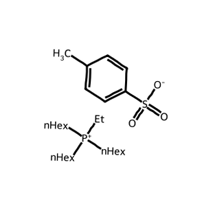 CCCCCC[P+](CC)(CCCCCC)CCCCCC.Cc1ccc(S(=O)(=O)[O-])cc1